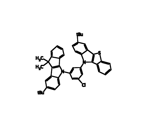 CC(C)(C)c1ccc2c(c1)c1c(n2-c2cc(Cl)cc(-n3c4ccc(C(C)(C)C)cc4c4sc5ccccc5c43)c2)-c2ccccc2C1(C)C